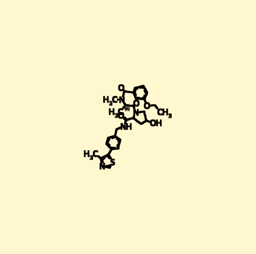 CCOc1cccc(C(=O)N(C)[C@H](C)C(=O)N2CC(O)CC2C(=O)NCc2ccc(-c3scnc3C)cc2)c1